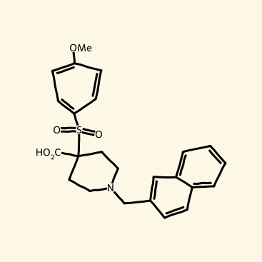 COc1ccc(S(=O)(=O)C2(C(=O)O)CCN(Cc3ccc4ccccc4c3)CC2)cc1